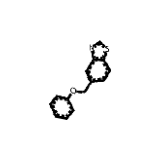 [c]1nc2cc(COc3ccccc3)ccc2s1